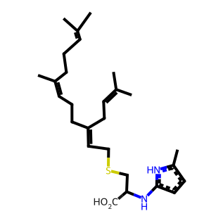 CC(C)=CCCC(C)=CCCC(=CCSCC(Nc1ccc(C)[nH]1)C(=O)O)CC=C(C)C